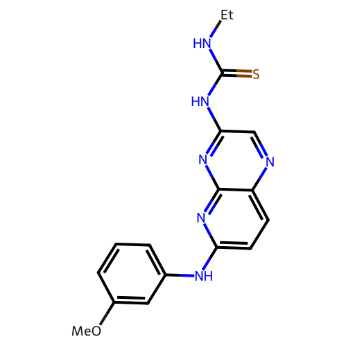 CCNC(=S)Nc1cnc2ccc(Nc3cccc(OC)c3)nc2n1